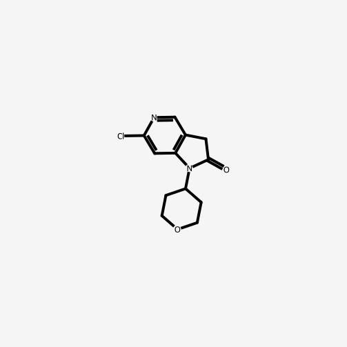 O=C1Cc2cnc(Cl)cc2N1C1CCOCC1